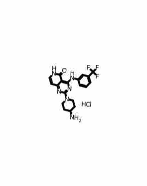 Cl.NC1CCN(c2nc(Nc3cccc(C(F)(F)F)c3)c3c(=O)[nH]ccc3n2)CC1